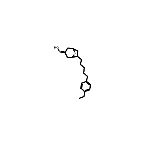 CCc1ccc(CCCCCC2CC3CC(=NO)CC2S3)cc1